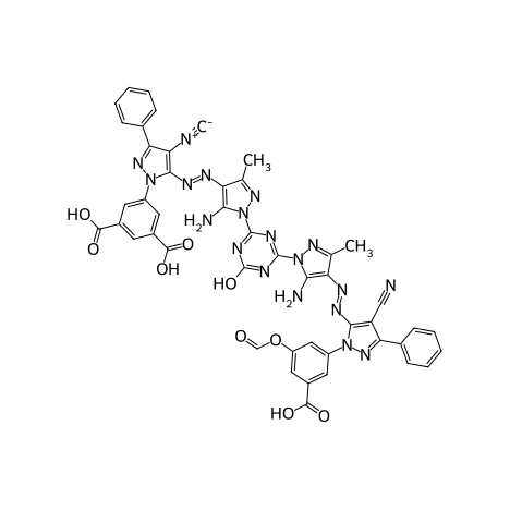 [C-]#[N+]c1c(-c2ccccc2)nn(-c2cc(C(=O)O)cc(C(=O)O)c2)c1N=Nc1c(C)nn(-c2nc(O)nc(-n3nc(C)c(N=Nc4c(C#N)c(-c5ccccc5)nn4-c4cc(OC=O)cc(C(=O)O)c4)c3N)n2)c1N